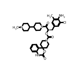 Cc1cc(C[C@@H](OC(=O)N2CCC3(CC2)OC(=O)Nc2ccccc23)C(=O)N2CCC(C3CCN(C)CC3)CC2)cc(Cl)c1N